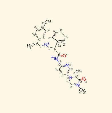 C[C@H](CNCC(C(=O)Nc1ccc(N2CCN(C)C(=O)[C@H]2C)cn1)c1ccccc1)c1ccc(C#N)cc1